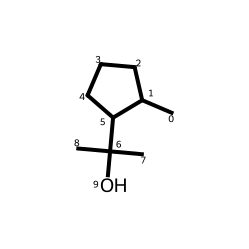 CC1CCCC1C(C)(C)O